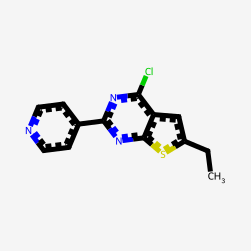 CCc1cc2c(Cl)nc(-c3ccncc3)nc2s1